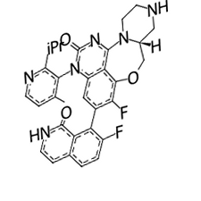 Cc1ccnc(C(C)C)c1-n1c(=O)nc2c3c(c(F)c(-c4c(F)ccc5cc[nH]c(=O)c45)cc31)OC[C@H]1CNCCN21